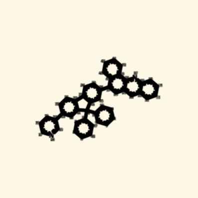 c1ccc(C2(c3ccccc3)c3cc(-c4cccnc4)ccc3-c3ccc(-c4cc5cc6ccccc6nc5c5ccccc45)cc32)cc1